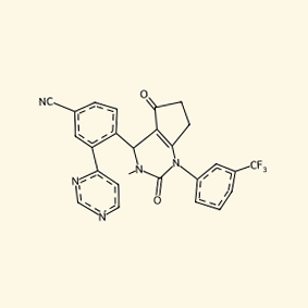 CN1C(=O)N(c2cccc(C(F)(F)F)c2)C2=C(C(=O)CC2)C1c1ccc(C#N)cc1-c1ccncn1